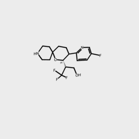 OCC([C@@H]1OC2(CCNCC2)CCC1c1ccc(F)cn1)C(F)(F)F